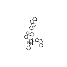 C1=CCC(c2nc(-c3ccc4ccc5ccccc5c4c3)nc(-c3cccc4oc5c(-c6ccc7c(c6)sc6c8ccccc8ccc76)cccc5c34)n2)C=C1